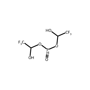 O=[PH](OC(O)C(F)(F)F)OC(O)C(F)(F)F